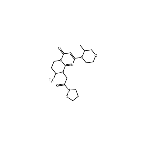 CC1COCCN1c1cc(=O)n2c(n1)N(CC(=O)N1CCCO1)C(C(F)(F)F)CC2